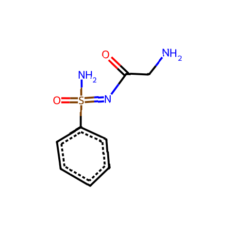 NCC(=O)N=S(N)(=O)c1ccccc1